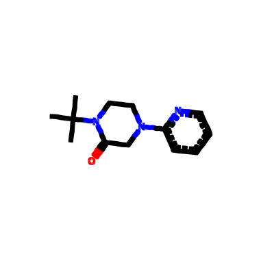 CC(C)(C)N1CCN(c2ccccn2)CC1=O